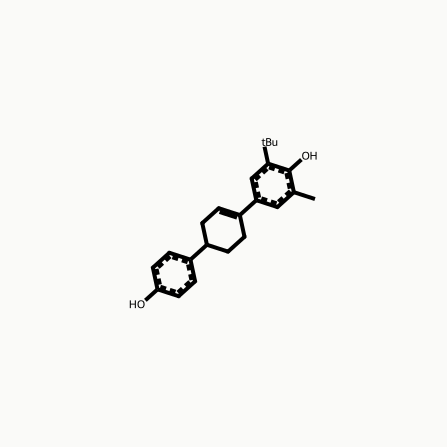 Cc1cc(C2=CCC(c3ccc(O)cc3)CC2)cc(C(C)(C)C)c1O